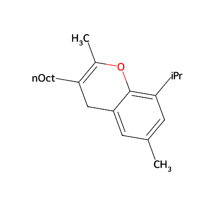 CCCCCCCCC1=C(C)Oc2c(cc(C)cc2C(C)C)C1